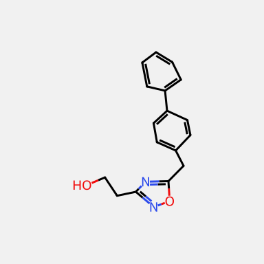 OCCc1noc(Cc2ccc(-c3ccccc3)cc2)n1